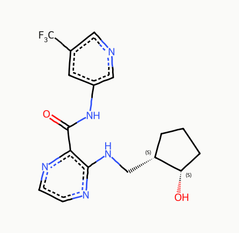 O=C(Nc1cncc(C(F)(F)F)c1)c1nccnc1NC[C@@H]1CCC[C@@H]1O